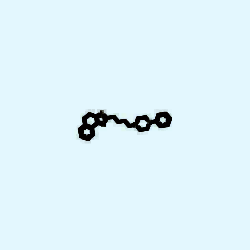 c1ccc(N2CCN(CCCCc3nc4c(s3)CCc3ccccc3-4)CC2)cc1